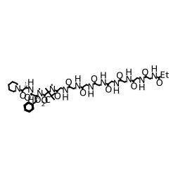 CCC(=O)NCC(=O)NCC(=O)NCC(=O)NCC(=O)NCC(=O)NCC(=O)NCC(=O)NCC(=O)N(C)C(C)(C(=O)N(C)[C@@H](Cc1ccccc1)C(=O)N[C@@H](C)C(=O)N1CCCCC1)C(C)(C)C(=O)O